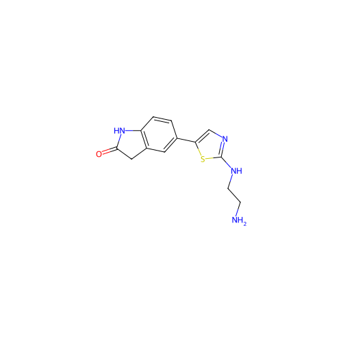 NCCNc1ncc(-c2ccc3c(c2)CC(=O)N3)s1